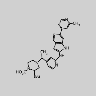 Cc1cc(-c2ccc3nc(Nc4cc(C(C)N5CCN(C(=O)O)C(C(C)(C)C)C5)ccn4)[nH]c3c2)ncn1